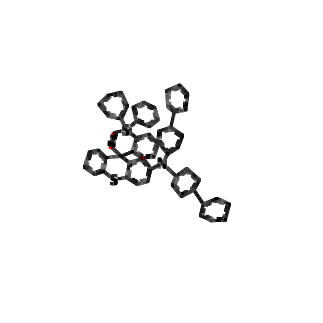 c1ccc(-c2ccc(N(c3ccc(-c4ccccc4)cc3)c3ccc4c(c3)C3(c5ccccc5S4)c4ccccc4[Si](c4ccccc4)(c4ccccc4)c4ccccc43)cc2)cc1